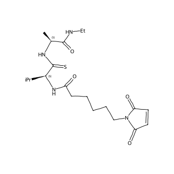 CCNC(=O)[C@H](C)NC(=S)[C@@H](NC(=O)CCCCCN1C(=O)C=CC1=O)C(C)C